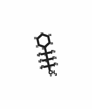 CC(F)(F)C(F)(F)C(F)(F)[C]1CCCCC1